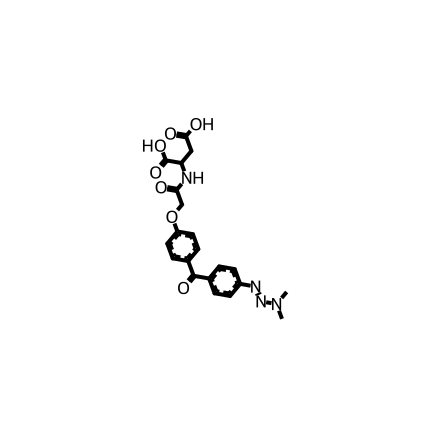 CN(C)/N=N/c1ccc(C(=O)c2ccc(OCC(=O)NC(CC(=O)O)C(=O)O)cc2)cc1